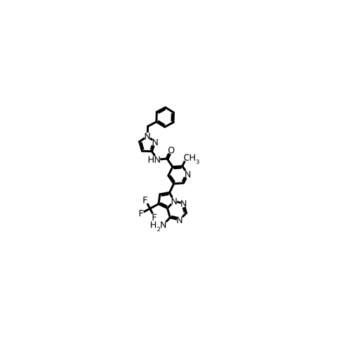 Cc1ncc(-c2cc(C(F)(F)F)c3c(N)ncnn23)cc1C(=O)Nc1ccn(Cc2ccccc2)n1